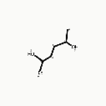 C[CH]C(O)CCC(C)O